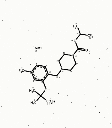 CC(C)(Oc1cc(C(F)(F)F)ccc1CN1CCN(C(=O)OC(C(F)(F)F)C(F)(F)F)CC1)C(=O)O.[NaH]